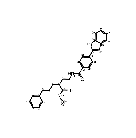 O=C(NCCC(CCCc1ccccc1)C(=O)NO)c1ccc(-c2cc3ccccc3o2)cc1